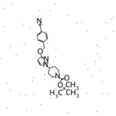 CC(C)(C)OC(=O)N1CCC(n2ccc(OCc3ccc(C#N)cc3)n2)CC1